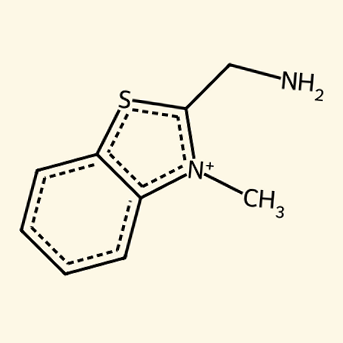 C[n+]1c(CN)sc2ccccc21